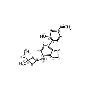 C=Cc1ccc(-c2nnc(NC3CC(C)(OC)C3)c3c2CCC3)c(O)c1